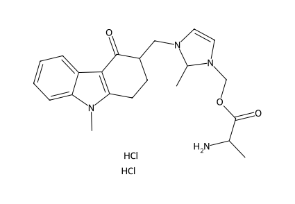 CC(N)C(=O)OCN1C=CN(CC2CCc3c(c4ccccc4n3C)C2=O)C1C.Cl.Cl